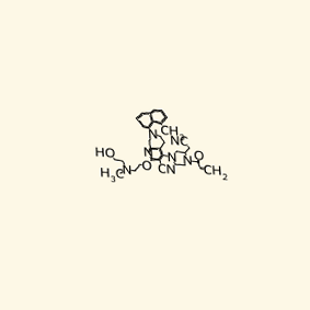 C=CC(=O)N1CCN(c2c(C#N)c(OCCN(C)CCO)nc3c2CCN(c2cccc4cccc(C)c24)C3)CC1CC#N